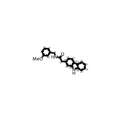 COc1cccc(CNC(=O)Cc2ccc3c(c2)[nH]c2ccccc23)c1